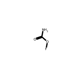 NC(=O)OF